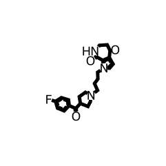 O=C1CCNC(=O)c2c1ccn2CCCCN1CCC(C(=O)c2ccc(F)cc2)CC1